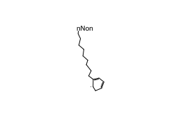 CCCCCCCCCCCCCCCCCCC1=CC=CC[CH]1